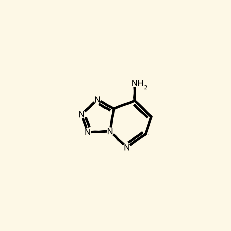 Nc1c[c]nn2nnnc12